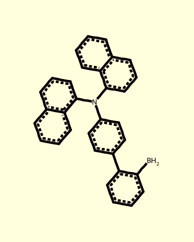 Bc1ccccc1-c1ccc(N(c2cccc3ccccc23)c2cccc3ccccc23)cc1